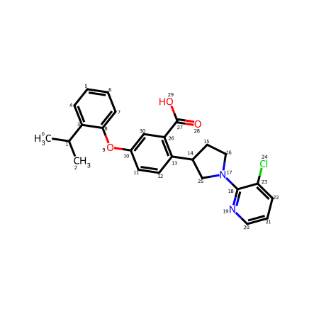 CC(C)c1ccccc1Oc1ccc(C2CCN(c3ncccc3Cl)C2)c(C(=O)O)c1